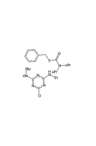 CCCN(CCC)C(=O)SCc1ccccc1.CCNc1nc(Cl)nc(NC(C)(C)C)n1